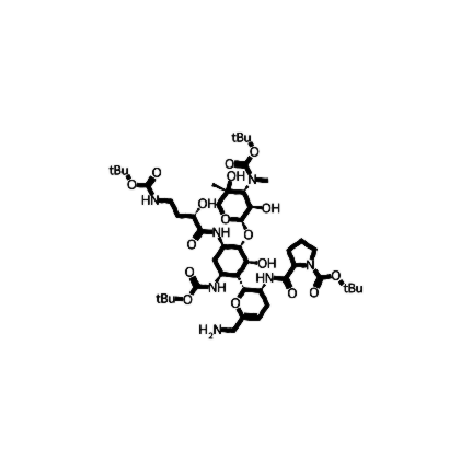 CN(C(=O)OC(C)(C)C)[C@@H]1[C@@H](O)[C@@H](O[C@H]2[C@H](NC(=O)[C@@H](O)CCNC(=O)OC(C)(C)C)C[C@H](NC(=O)OC(C)(C)C)C([C@H]3OC(CN)=CC[C@H]3NC(=O)C3CCCN3C(=O)OC(C)(C)C)[C@@H]2O)OC[C@]1(C)O